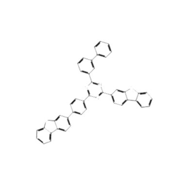 c1ccc(-c2cccc(-c3nc(-c4ccc(-c5ccc6c(c5)oc5ccccc56)cc4)nc(-c4ccc5c(c4)sc4ccccc45)n3)c2)cc1